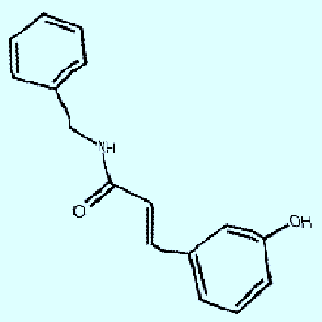 O=C(/C=C/c1cccc(O)c1)NCc1ccccc1